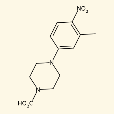 Cc1cc(N2CCN(C(=O)O)CC2)ccc1[N+](=O)[O-]